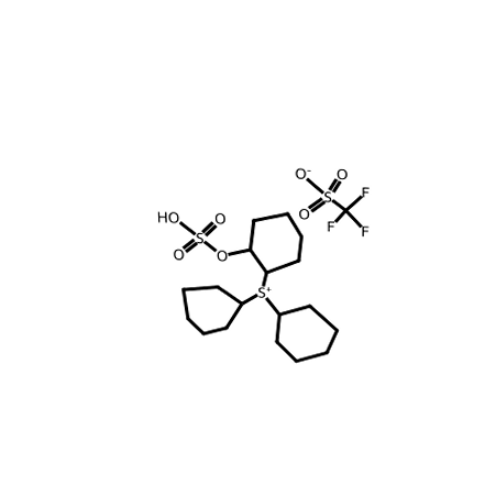 O=S(=O)(O)OC1CCCCC1[S+](C1CCCCC1)C1CCCCC1.O=S(=O)([O-])C(F)(F)F